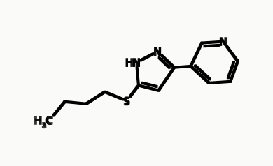 CCCCSc1cc(-c2cccnc2)n[nH]1